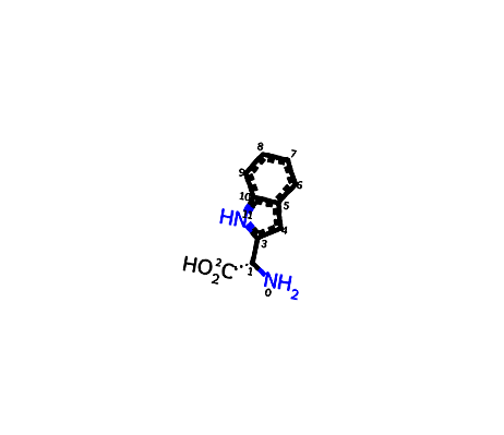 N[C@H](C(=O)O)c1cc2ccccc2[nH]1